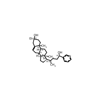 CC[C@]1(O)CC[C@@]2(C)C(=CC[C@H]3[C@@H]4CC[C@H]([C@H](C)CC[C@@H](O)c5cccnc5)[C@@]4(C)CC[C@@H]32)C1